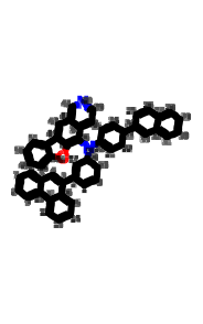 C1=CC(c2cc3ccccc3c3ccccc23)=CC(N(C2=CCC(c3ccc4ccccc4c3)C=C2)c2c3ccncc3cc3c2oc2ccccc23)C1